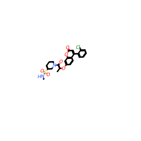 CNS(=O)(=O)C1CCCN(C(=O)C(C)Oc2ccc3c(-c4ccccc4Cl)cc(=O)oc3c2)C1